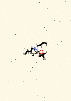 CCCCN(CCCC)[SiH2]O[Si](C)(C)C